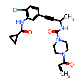 C=CC(=O)N1CCN(C(=O)NC(C)C#Cc2ccc(Cl)c(NC(=O)C3CC3)c2)CC1